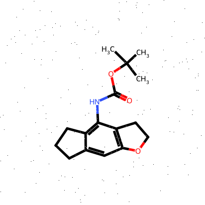 CC(C)(C)OC(=O)Nc1c2c(cc3c1CCO3)CCC2